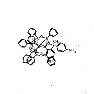 C[Si](O[Si]12O[Si]3(c4ccccc4)O[Si]4(c5ccccc5)O[Si](c5ccccc5)(O1)O[Si]1(c5ccccc5)O[Si](c5ccccc5)(O2)O[Si](c2ccccc2)(O3)O[Si](c2ccccc2)(O4)O1)(c1ccc(N)cc1)c1ccc(N)cc1